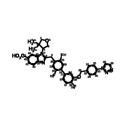 CC1(C)COCC1n1c(Cc2cc(F)c(-c3ccc(F)c(OCc4ccc(-n5ccnn5)cc4)n3)cc2F)nc2ccc(C(=O)O)cc21